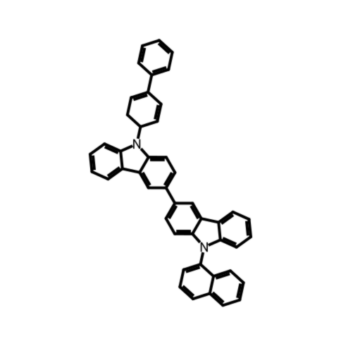 C1=CC(n2c3ccccc3c3cc(-c4ccc5c(c4)c4ccccc4n5-c4cccc5ccccc45)ccc32)CC=C1c1ccccc1